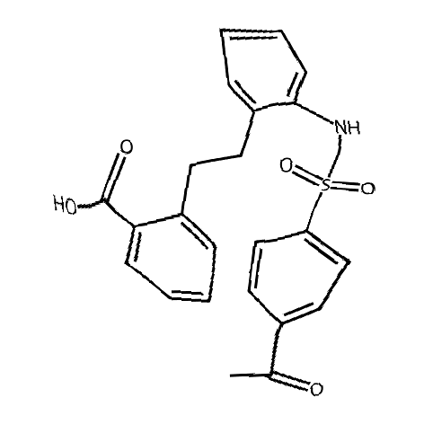 CC(=O)c1ccc(S(=O)(=O)Nc2ccccc2CCc2ccccc2C(=O)O)cc1